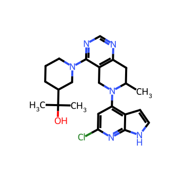 CC1Cc2ncnc(N3CCCC(C(C)(C)O)C3)c2CN1c1cc(Cl)nc2[nH]ccc12